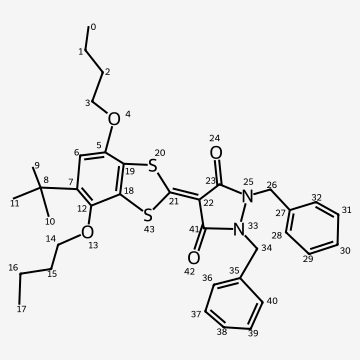 CCCCOc1cc(C(C)(C)C)c(OCCCC)c2c1SC(=C1C(=O)N(Cc3ccccc3)N(Cc3ccccc3)C1=O)S2